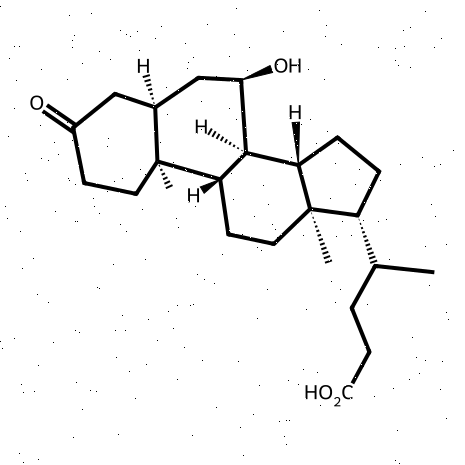 CC(CCC(=O)O)[C@H]1CC[C@H]2[C@@H]3[C@H](O)C[C@@H]4CC(=O)CC[C@]4(C)[C@H]3CC[C@]12C